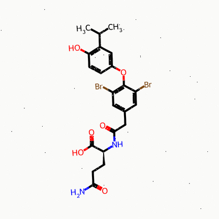 CC(C)c1cc(Oc2c(Br)cc(CC(=O)N[C@@H](CCC(N)=O)C(=O)O)cc2Br)ccc1O